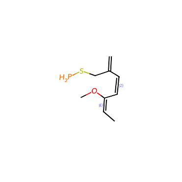 C=C(/C=C\C(=C/C)OC)CSP